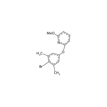 COc1cccc(Oc2cc(C)c(Br)c(C)c2)n1